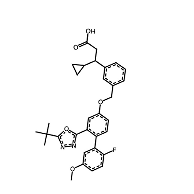 COc1ccc(F)c(-c2ccc(OCc3cccc(C(CC(=O)O)C4CC4)c3)cc2-c2nnc(C(C)(C)C)o2)c1